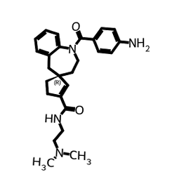 CN(C)CCNC(=O)C1=C[C@@]2(CC1)CCN(C(=O)c1ccc(N)cc1)c1ccccc1C2